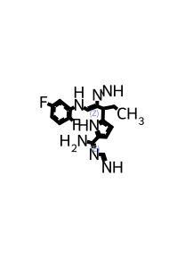 CCC(/C(=C/Nc1cc(F)ccc1F)N=N)c1ccc(/C(N)=N\C=N)[nH]1